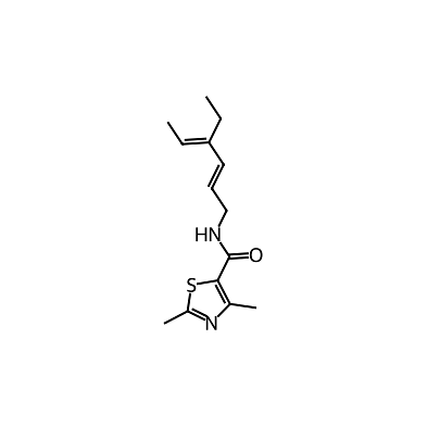 CC=C(C=CCNC(=O)c1sc(C)nc1C)CC